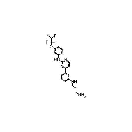 NCCCNc1cccc(-c2ccnc(Nc3cccc(OC(F)(F)C(F)F)c3)n2)c1